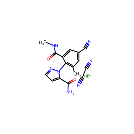 Br.CNC(=O)c1cc(C#N)cc(C)c1-n1nccc1C(N)=O.N#CC#N